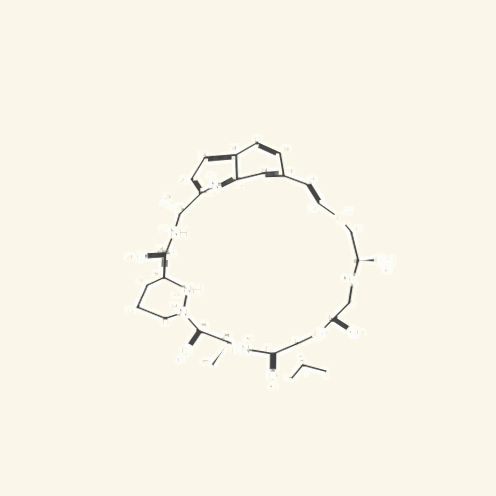 CC(C)[C@H]1OC(=O)CC[C@H](O)CC/C=C/c2ccc3ccc(nc3c2)[C@@H](C)NC(=O)[C@@H]2CCCN(N2)C(=O)[C@H](C)NC1=O